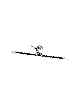 CCCCCCCCC=CCCCCCCCCOCC(COCCCCCCCCC=CCCCCCCCC)NC(=O)OCC(CC)NCC